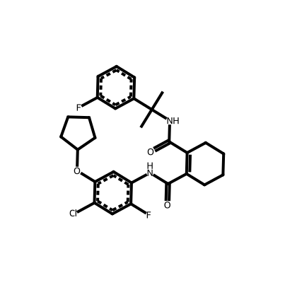 CC(C)(NC(=O)C1=C(C(=O)Nc2cc(OC3CCCC3)c(Cl)cc2F)CCCC1)c1cccc(F)c1